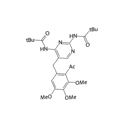 COc1cc(Cc2cnc(NC(=O)C(C)(C)C)nc2NC(=O)C(C)(C)C)c(C(C)=O)c(OC)c1OC